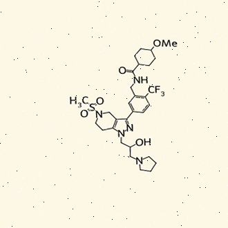 COC1CCC(C(=O)NCc2cc(-c3nn(CC(O)CN4CCCC4)c4c3CN(S(C)(=O)=O)CC4)ccc2C(F)(F)F)CC1